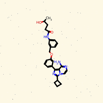 CC(O)CCC(=O)Nc1cccc(COc2cccc(-c3nc(C4CCC4)n4ccnc(N)c34)c2)c1